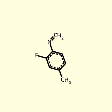 C=Nc1ccc(C)cc1F